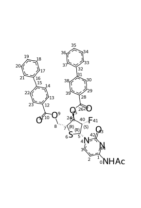 CC(=O)Nc1ccn([C@@H]2S[C@H](COC(=O)c3ccc(-c4ccccc4)cc3)[C@@H](OC(=O)c3ccc(-c4ccccc4)cc3)[C@@H]2F)c(=O)n1